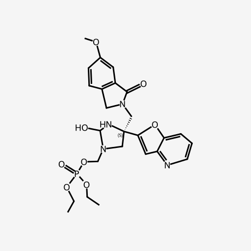 CCOP(=O)(OCC)OCN1C[C@](CN2Cc3ccc(OC)cc3C2=O)(c2cc3ncccc3o2)NC1O